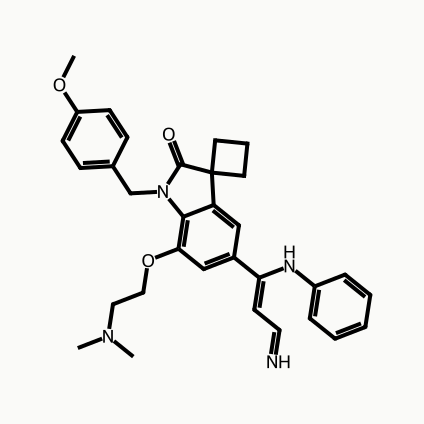 COc1ccc(CN2C(=O)C3(CCC3)c3cc(/C(=C/C=N)Nc4ccccc4)cc(OCCN(C)C)c32)cc1